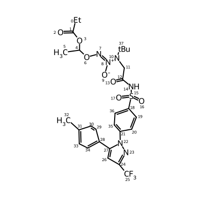 CCC(=O)OC(C)ON=[N+]([O-])N(CC(=O)NS(=O)(=O)c1ccc(-n2nc(C(F)(F)F)cc2-c2ccc(C)cc2)cc1)C(C)(C)C